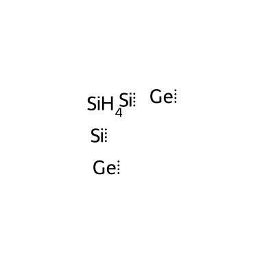 [Ge].[Ge].[SiH4].[Si].[Si]